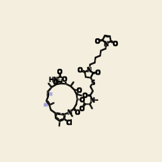 C/C1=C\C=C\C(C)C2(O)CC(OC(=O)N2)C(C)C2OC2(C)C(OC(=O)C(C)N(C)C(=O)CCSC2CC(=O)N(CCCCCCN3C(=O)C=CC3=O)C2=O)CC(=O)N(C)c2cc(cc(C)c2Cl)C1